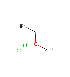 CC(C)C[O][Zr+2].[Cl-].[Cl-]